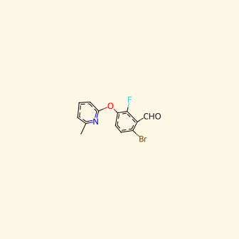 Cc1cccc(Oc2ccc(Br)c(C=O)c2F)n1